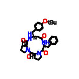 CC(C)(C)Oc1ccc(C[C@H]2CC(=O)N[C@@H](Cc3ccccc3)C(=O)N3CCC[C@H]3C(=O)N3CCC[C@H]3C(=O)N2)cc1